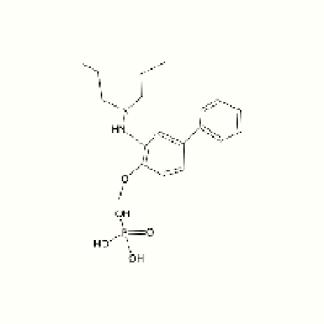 CCCN(CCC)Nc1cc(-c2ccccc2)ccc1OC.O=P(O)(O)O